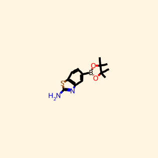 CC1(C)OB(c2ccc3sc(N)nc3c2)OC1(C)C